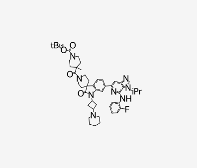 CC(C)n1cnc2cc(-c3ccc4c(c3)N(C3CC(N5CCCCC5)C3)C(=O)C43CCN(C(=O)C4(C)CCN(C(=O)OC(C)(C)C)CC4)CC3)nc(Nc3ccccc3F)c21